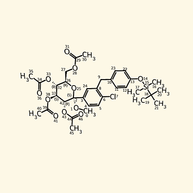 CO[C@@]1(c2ccc(Cl)c(Cc3ccc(O[Si](C)(C)C(C)(C)C)cc3)c2)O[C@H](COC(C)=O)[C@@H](OC(C)=O)[C@H](OC(C)=O)[C@H]1OC(C)=O